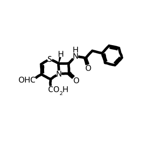 O=CC1=CS[C@@H]2C(NC(=O)Cc3ccccc3)C(=O)N2C1C(=O)O